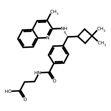 Cc1cc2ccccc2nc1N[C@@H](c1ccc(C(=O)NCCC(=O)O)cc1)C1CC(C)(C)C1